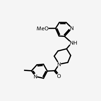 COc1ccnc(NC2CCN(C(=O)c3ccc(C)nc3)CC2)c1